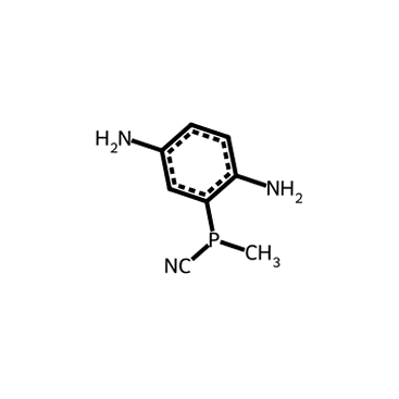 CP(C#N)c1cc(N)ccc1N